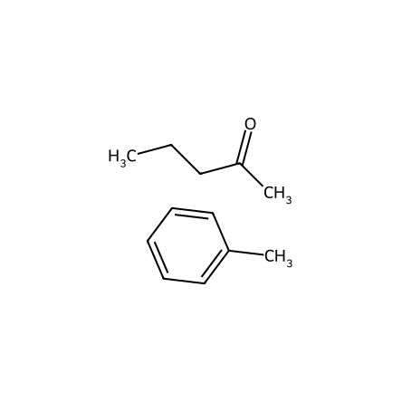 CCCC(C)=O.Cc1ccccc1